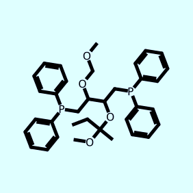 CCC(C)(OC)OC(CP(c1ccccc1)c1ccccc1)C(CP(c1ccccc1)c1ccccc1)OCOC